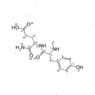 CNC(Cc1ccc(O)cc1)C(=O)NC(CCC(=O)O)C(N)=O